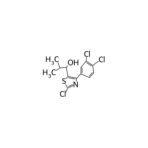 CC(C)C(O)c1sc(Cl)nc1-c1ccc(Cl)c(Cl)c1